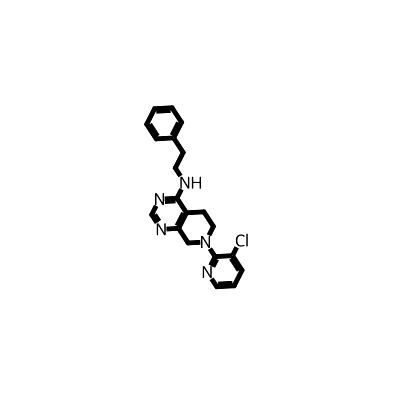 Clc1cccnc1N1CCc2c(ncnc2NCCc2ccccc2)C1